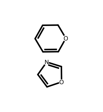 C1=CCOC=C1.c1cocn1